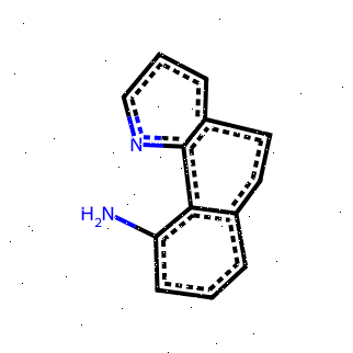 Nc1cccc2ccc3cccnc3c12